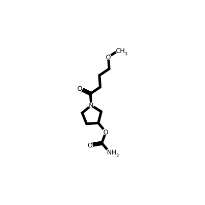 COCCCC(=O)N1CCC(OC(N)=O)C1